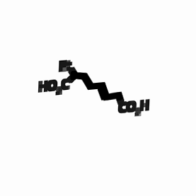 CCC(CCC=CCC(=O)O)C(=O)O